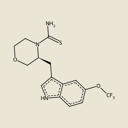 NC(=S)N1CCOC[C@@H]1Cc1c[nH]c2ccc(OC(F)(F)F)cc12